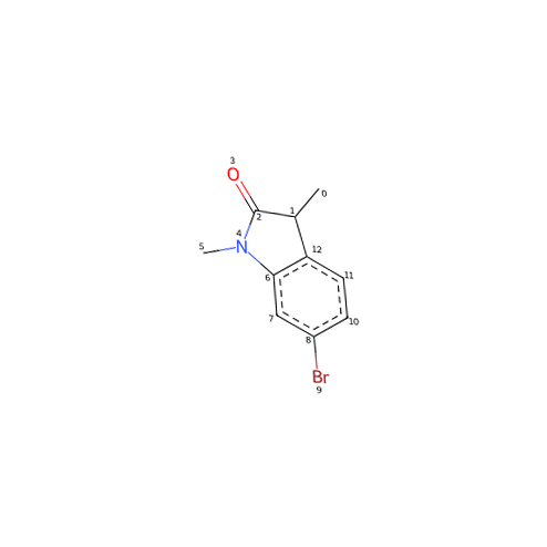 CC1C(=O)N(C)c2cc(Br)ccc21